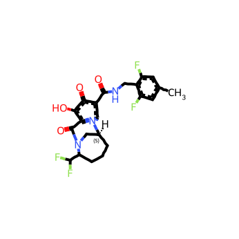 Cc1cc(F)c(CNC(=O)c2cn3c(c(O)c2=O)C(=O)N2C[C@@H]3CCCC2C(F)F)c(F)c1